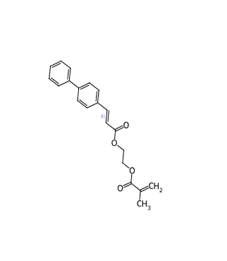 C=C(C)C(=O)OCCOC(=O)/C=C/c1ccc(-c2ccccc2)cc1